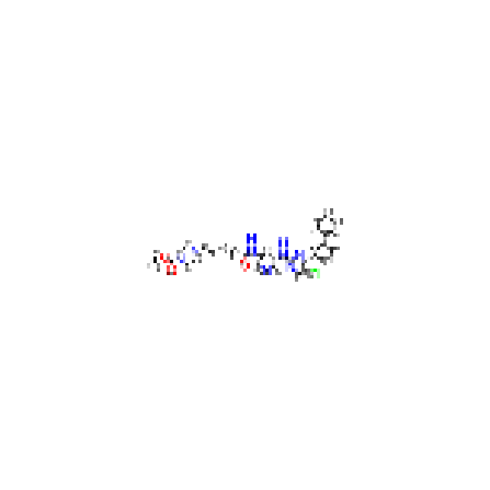 CC(C)(C)OC(=O)N1CCN(CCCCCC(=O)Nc2cncc(Nc3ncc(Cl)c(-c4cccc(-c5ccccc5)c4)n3)c2)CC1